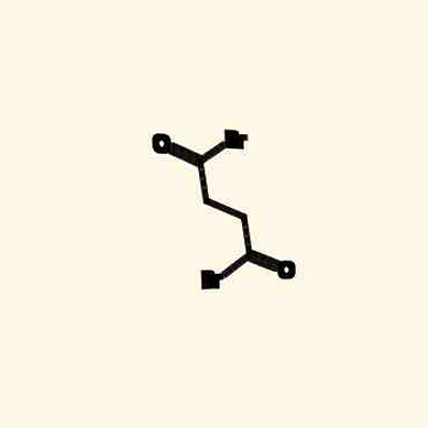 O=C(Br)CCC(=O)Br